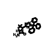 CC1(C)S[C@@H]2C(N)C(=O)N2C1c1nnn(C(c2ccccc2)(c2ccccc2)c2ccccc2)n1